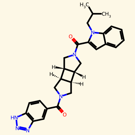 CC(C)Cn1c(C(=O)N2C[C@@H]3[C@H]4CN(C(=O)c5ccc6[nH]nnc6c5)C[C@H]4[C@@H]3C2)cc2ccccc21